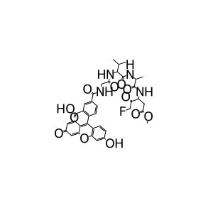 COC(=O)CC(NC(=O)C(C)NC(=O)C(NC(=O)CNC(=O)c1ccc(-c2c3ccc(=O)cc-3oc3cc(O)ccc23)c(C(=O)O)c1)C(C)C)C(=O)CF